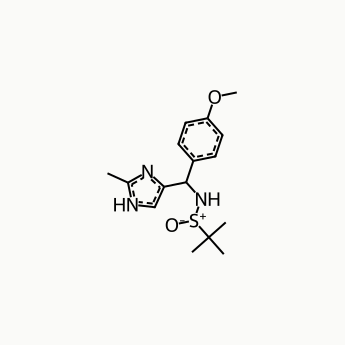 COc1ccc(C(N[S+]([O-])C(C)(C)C)c2c[nH]c(C)n2)cc1